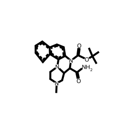 CN1CCN2c3c(ccc4ccccc34)N(C(=O)OC(C)(C)C)C(C(N)=O)C2C1